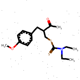 CCN(CC)C(=S)SCC(Cc1ccc(OC)cc1)C(C)=O